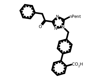 CCCCCc1nc(C(=O)Cc2ccccc2)nn1Cc1ccc(-c2ccccc2C(=O)O)cc1